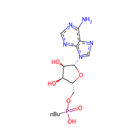 CCCCP(=O)(O)OC[C@H]1O[C@@H](n2cnc3c(N)ncnc32)[C@H](O)[C@@H]1O